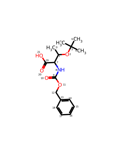 CC(OC(C)(C)C)C(NC(=O)OCc1ccccc1)C(=O)O